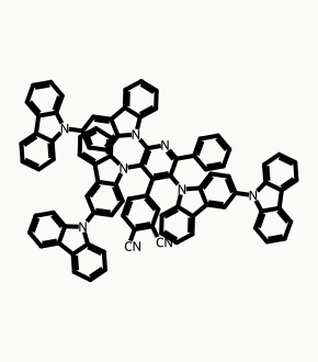 N#Cc1ccc(-c2c(-n3c4ccccc4c4cc(-n5c6ccccc6c6ccccc65)ccc43)c(-c3ccccc3)nc(-n3c4ccccc4c4cc(-n5c6ccccc6c6ccccc65)ccc43)c2-n2c3ccccc3c3cc(-n4c5ccccc5c5ccccc54)ccc32)cc1C#N